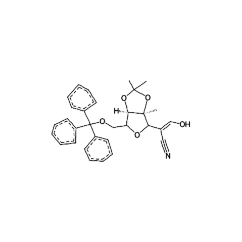 CC1(C)O[C@@H]2C(COC(c3ccccc3)(c3ccccc3)c3ccccc3)OC(C(C#N)=CO)[C@]2(C)O1